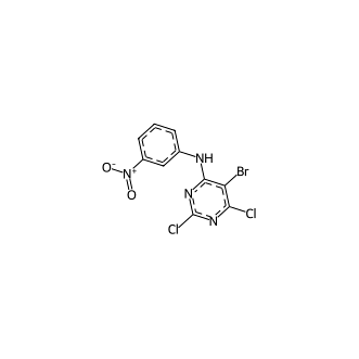 O=[N+]([O-])c1cccc(Nc2nc(Cl)nc(Cl)c2Br)c1